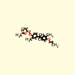 [CH2][CH]COc1ccc(C(C)(C)c2ccc(OC[C@@H](CCl)OC(C)=O)c(C)c2)cc1C